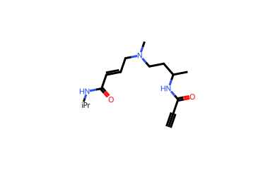 C#CC(=O)NC(C)CCN(C)C/C=C/C(=O)NC(C)C